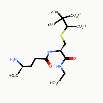 CCCCC(CCCC)(C(=O)O)C(SC[C@H](NC(=O)CC[C@H](N)C(=O)O)C(=O)NCC(=O)O)C(=O)O